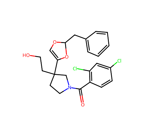 O=C(c1ccc(Cl)cc1Cl)N1CCC(CCO)(C2=COC(Cc3ccccc3)O2)C1